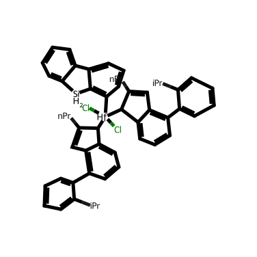 CCCC1=Cc2c(-c3ccccc3C(C)C)cccc2[CH]1[Hf]([Cl])([Cl])([c]1cccc2c1[SiH2]c1ccccc1-2)[CH]1C(CCC)=Cc2c(-c3ccccc3C(C)C)cccc21